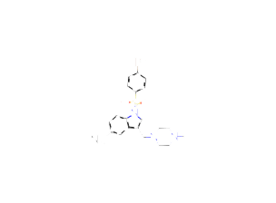 CN1CCN(Cc2cn(S(=O)(=O)c3ccc(Br)cc3)c3ccc(C#N)cc23)CC1